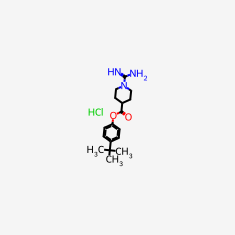 CC(C)(C)c1ccc(OC(=O)C2CCN(C(=N)N)CC2)cc1.Cl